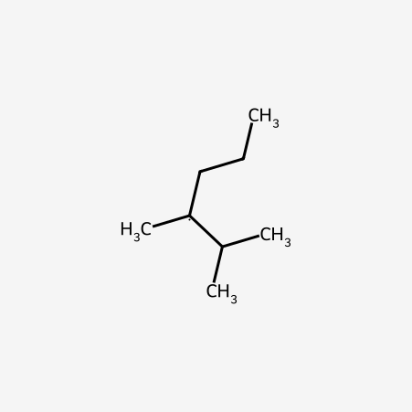 CCC[C](C)C(C)C